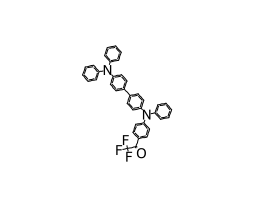 O=C(c1ccc(N(c2ccccc2)c2ccc(-c3ccc(N(c4ccccc4)c4ccccc4)cc3)cc2)cc1)C(F)(F)F